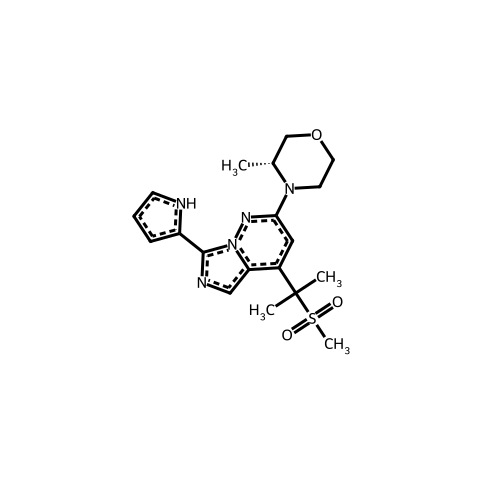 C[C@@H]1COCCN1c1cc(C(C)(C)S(C)(=O)=O)c2cnc(-c3ccc[nH]3)n2n1